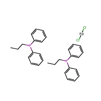 CCCP(c1ccccc1)c1ccccc1.CCCP(c1ccccc1)c1ccccc1.[Cl][Pd][Cl]